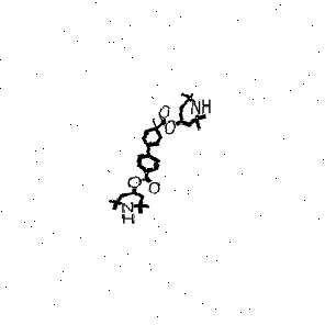 CC1(C)CC(OC(=O)c2ccc(C3=CC[C@@](C)(C(=O)OC4CC(C)(C)NC(C)(C)C4)C=C3)cc2)CC(C)(C)N1